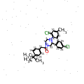 Cc1ccc(N2CCN(C(=O)Cc3ccc(C(C)(C)C)cc3)CC2c2ccc(Cl)cc2)c(Cl)c1